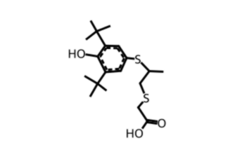 CC(CSCC(=O)O)Sc1cc(C(C)(C)C)c(O)c(C(C)(C)C)c1